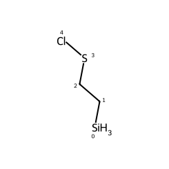 [SiH3]CCSCl